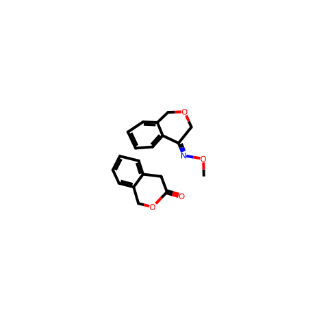 CON=C1COCc2ccccc21.O=C1Cc2ccccc2CO1